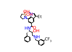 CCc1cn(C)c2c(N3CCCS3(O)O)cc(C(=O)N[C@@H](Cc3ccccc3)[C@@H](O)CNCc3cccc(C(F)(F)F)c3)cc12